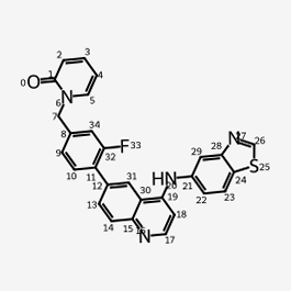 O=c1ccccn1Cc1ccc(-c2ccc3nccc(Nc4ccc5scnc5c4)c3c2)c(F)c1